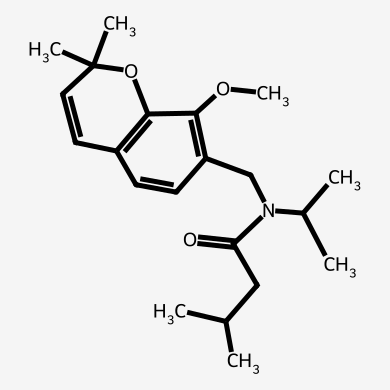 COc1c(CN(C(=O)CC(C)C)C(C)C)ccc2c1OC(C)(C)C=C2